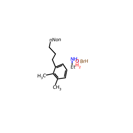 Br.CCCCCCCCCCCCc1cccc(C)c1C.CCN.O